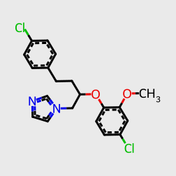 COc1cc(Cl)ccc1OC(CCc1ccc(Cl)cc1)Cn1ccnc1